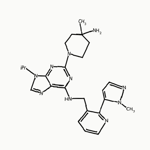 CC(C)n1cnc2c(NCc3cccnc3-c3ccnn3C)nc(N3CCC(C)(N)CC3)nc21